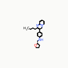 CCCCC1=C(c2ccc(NC[C@H]3CCCO3)cc2)CN2C=CC=CC2=N1